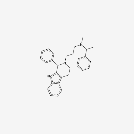 CC(c1ccccc1)N(C)CCCN1CCc2c([nH]c3ccccc23)C1c1ccccc1